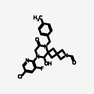 Cc1ccc(CN2C(=O)CN(c3ncc(Cl)cc3F)C(O)C23CC2(CN(C=O)C2)C3)cc1